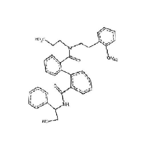 COc1ccccc1CCN(CCC(=O)O)C(=O)c1ccccc1-c1ccccc1C(=O)NC(CO)c1ccccc1